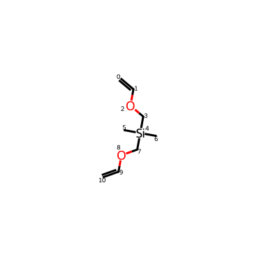 C=COC[Si](C)(C)COC=C